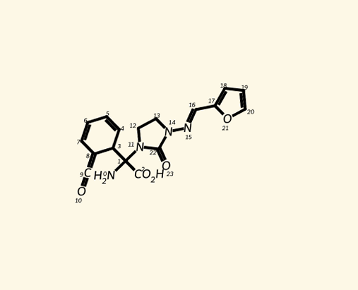 NC(C(=O)O)(C1C=CC=CC1=C=O)N1CCN(N=Cc2ccco2)C1=O